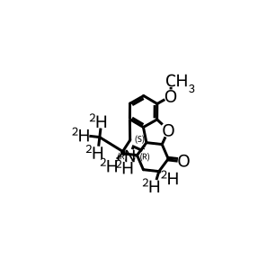 [2H]C1([2H])C[C@]2([2H])[C@@]34CCN(C([2H])([2H])[2H])[C@]2([2H])Cc2ccc(OC)c(c23)OC4C1=O